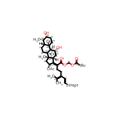 CCCCCCCC=CC(CCC(C(=O)OCOC(=O)C(C)(C)C)=C1[C@@H](OC(C)=O)C[C@@]2(C)[C@@H]1C[C@@H](O)[C@@H]1[C@@]3(C)CC[C@@H](O)[C@@H](C)[C@H]3CC[C@@]12C)=C(C)C